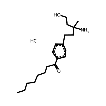 CCCCCCCC(=O)c1ccc(CCC(C)(N)CCO)cc1.Cl